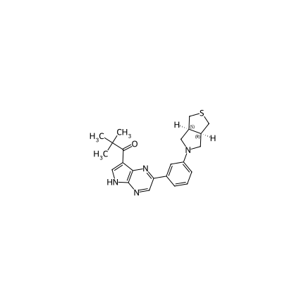 CC(C)(C)C(=O)c1c[nH]c2ncc(-c3cccc(N4C[C@H]5CSC[C@H]5C4)c3)nc12